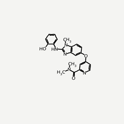 CN(C)C(=O)c1cc(Oc2ccc3c(c2)nc(Nc2ccccc2O)n3C)ccn1